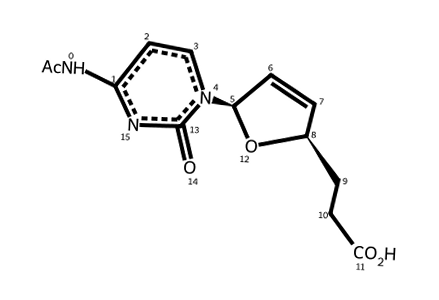 CC(=O)Nc1ccn([C@H]2C=C[C@@H](CCC(=O)O)O2)c(=O)n1